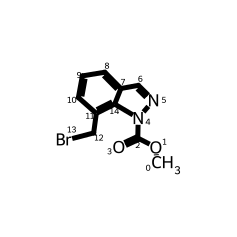 COC(=O)n1ncc2cccc(CBr)c21